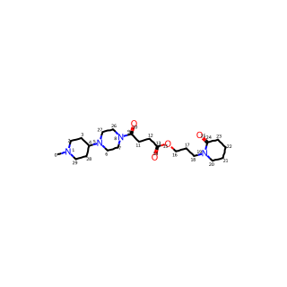 CN1CCC(N2CCN(C(=O)CCC(=O)OCCCN3CCCCC3=O)CC2)CC1